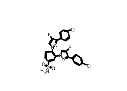 NS(=O)(=O)c1ccc(-n2cc(F)c(-c3ccc(Cl)cc3)n2)c(-n2cc(F)c(-c3ccc(Cl)cc3)n2)c1